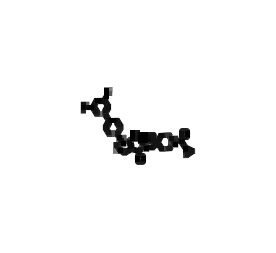 O=C(C1CC1)N1CCC(O)(Cn2cnc3c(cnn3-c3ccc(-c4cc(F)cc(F)c4)cc3)c2=O)CC1